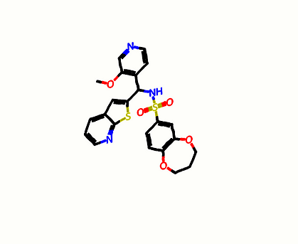 COc1cnccc1C(NS(=O)(=O)c1ccc2c(c1)OCCCO2)c1cc2cccnc2s1